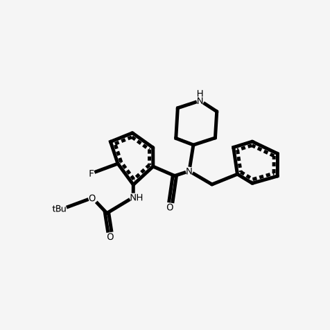 CC(C)(C)OC(=O)Nc1c(F)cccc1C(=O)N(Cc1ccccc1)C1CCNCC1